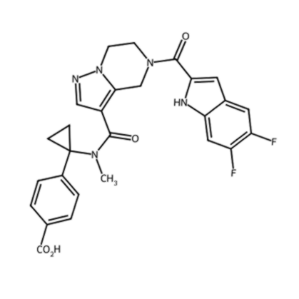 CN(C(=O)c1cnn2c1CN(C(=O)c1cc3cc(F)c(F)cc3[nH]1)CC2)C1(c2ccc(C(=O)O)cc2)CC1